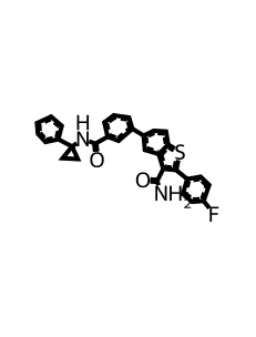 NC(=O)c1c(-c2ccc(F)cc2)sc2ccc(-c3cccc(C(=O)NC4(c5ccccc5)CC4)c3)cc12